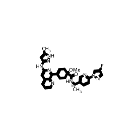 COC1(C(=O)N[C@@H](C)c2ccc(-n3cc(F)cn3)nc2)CC=C(c2nc(Nc3cc(C)[nH]n3)cc3cccnc23)CC1